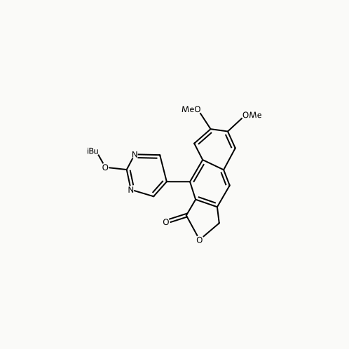 CCC(C)Oc1ncc(-c2c3c(cc4cc(OC)c(OC)cc24)COC3=O)cn1